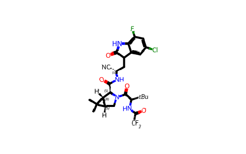 CC(C)(C)C(NC(=O)C(F)(F)F)C(=O)N1C[C@H]2[C@@H]([C@H]1C(=O)N[C@H](C#N)CC1C(=O)Nc3c(F)cc(Cl)cc31)C2(C)C